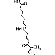 C=C(C)C(=O)C=CCCCCCCCCC(=O)O.[NaH]